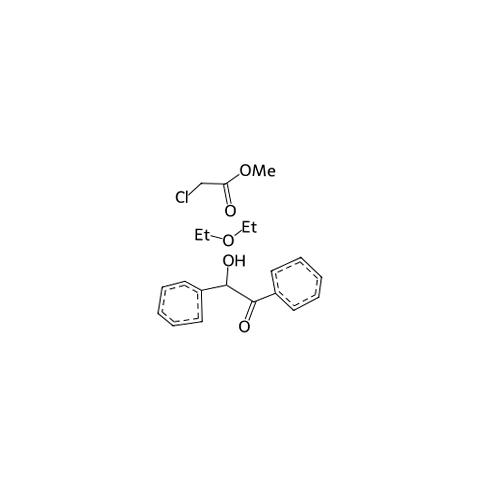 CCOCC.COC(=O)CCl.O=C(c1ccccc1)C(O)c1ccccc1